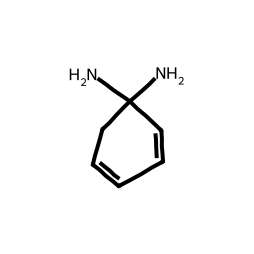 NC1(N)C=CC=CC1